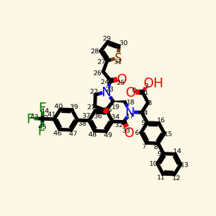 O=C(O)CC(c1ccc(-c2ccccc2)cc1)N(C[C@H]1CCCN1C(=O)Cc1cccs1)C(=O)c1ccc(-c2ccc(C(F)(F)F)cc2)cc1